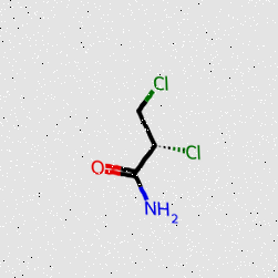 NC(=O)[C@@H](Cl)CCl